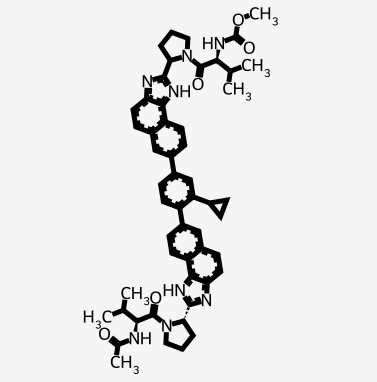 COC(=O)N[C@H](C(=O)N1CCCC1c1nc2ccc3cc(-c4ccc(-c5ccc6c(ccc7nc([C@@H]8CCCN8C(=O)[C@@H](NC(C)=O)C(C)C)[nH]c76)c5)c(C5CC5)c4)ccc3c2[nH]1)C(C)C